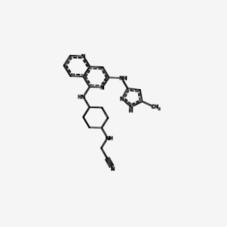 Cc1cc(Nc2cc3ncccc3c(NC3CCC(NCC#N)CC3)n2)n[nH]1